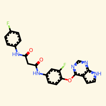 O=C(CC(=O)Nc1ccc(Oc2ncnc3[nH]ccc23)c(F)c1)Nc1ccc(F)cc1